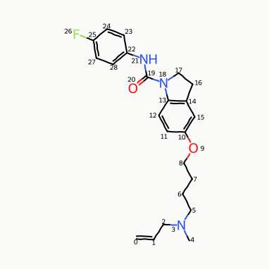 C=CCN(C)CCCCOc1ccc2c(c1)CCN2C(=O)Nc1ccc(F)cc1